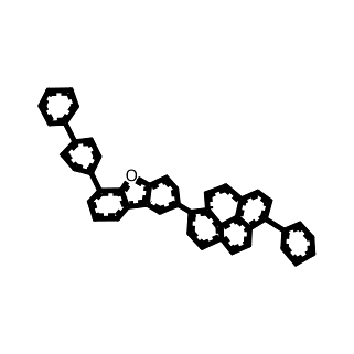 c1ccc(-c2ccc(-c3cccc4c3oc3ccc(-c5ccc6ccc7c(-c8ccccc8)ccc8ccc5c6c87)cc34)cc2)cc1